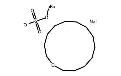 C1CCCCCCOCCCCCC1.CCCCOS(=O)(=O)[O-].[Na+]